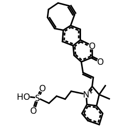 CC1(C)C(/C=C/c2cc3cc4c(cc3oc2=O)C#CCC/C=C\4)=[N+](CCCCS(=O)(=O)O)c2ccccc21